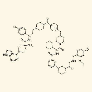 CCOc1cc(OC)ccc1CNCC(=O)N1CCCC(c2cccc(C(=O)N[C@@H](C(=O)N3CCN(CC45CCC(C(=O)N6CCN(CC[C@H](NC(=O)C7(N)CCN(c8ncnc9[nH]ccc89)CC7)c7ccc(Cl)cc7)CC6)(CC4)CO5)CC3)C3CCCCC3)c2)C1